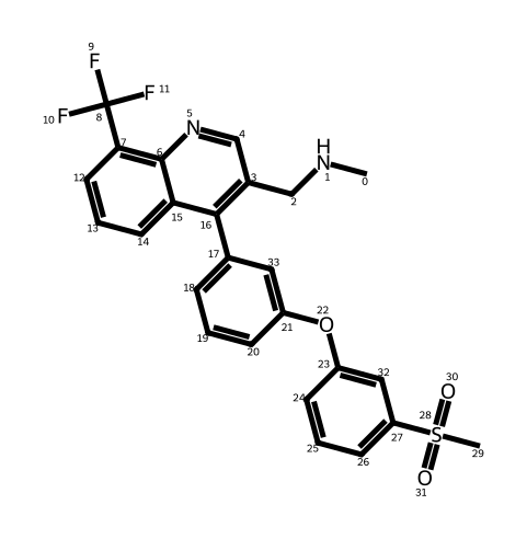 CNCc1cnc2c(C(F)(F)F)cccc2c1-c1cccc(Oc2cccc(S(C)(=O)=O)c2)c1